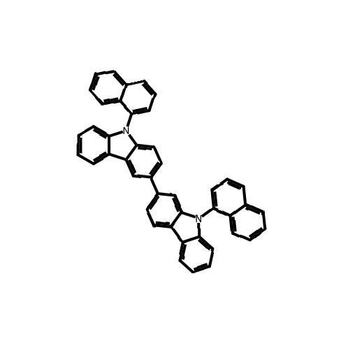 c1ccc2c(-n3c4ccccc4c4cc(-c5ccc6c7ccccc7n(-c7cccc8ccccc78)c6c5)ccc43)cccc2c1